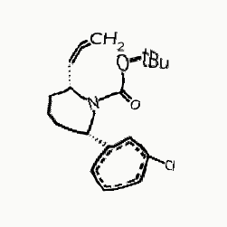 C=C[C@H]1CC[C@@H](c2cccc(Cl)c2)N1C(=O)OC(C)(C)C